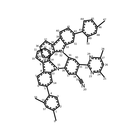 Cc1ccc(-c2ccc3c4ccccc4n(-c4cc(C#N)c(-c5nc(C)cc(C)n5)cc4-n4c5ccccc5c5ccc(-c6ccc(C)cc6C)cc54)c3c2)c(C)c1